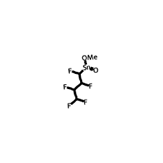 C[O][Sn](=[O])[CH](F)C(F)C(F)C(F)F